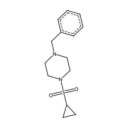 O=S(=O)(C1CC1)N1CCN(Cc2[c]cccc2)CC1